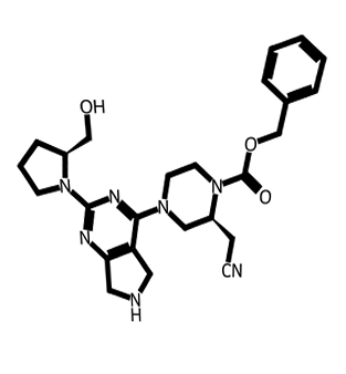 N#CC[C@H]1CN(c2nc(N3CCC[C@H]3CO)nc3c2CNC3)CCN1C(=O)OCc1ccccc1